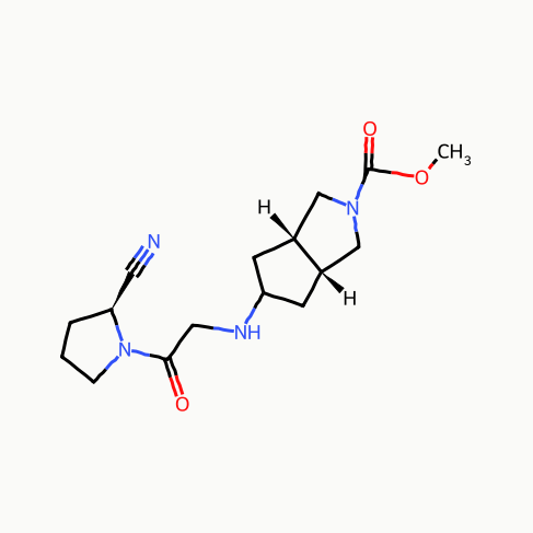 COC(=O)N1C[C@H]2CC(NCC(=O)N3CCC[C@H]3C#N)C[C@H]2C1